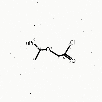 CCCC(C)OCC(=O)Cl